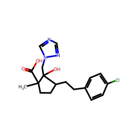 CC1(C(=O)O)CCC(CCc2ccc(Cl)cc2)C1(O)Cn1cncn1